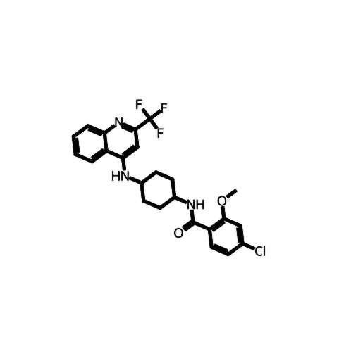 COc1cc(Cl)ccc1C(=O)NC1CCC(Nc2cc(C(F)(F)F)nc3ccccc23)CC1